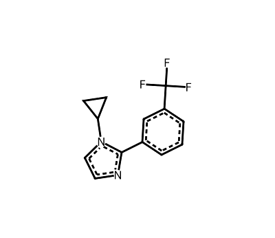 FC(F)(F)c1cccc(-c2nccn2C2CC2)c1